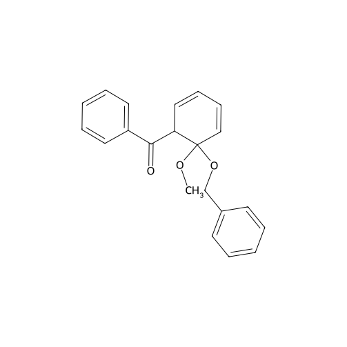 COC1(OCc2ccccc2)C=CC=CC1C(=O)c1ccccc1